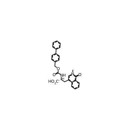 Cn1cc(C[C@@H](NC(=O)OCc2ccc(-c3ccccc3)cc2)C(=O)O)c2ccccc2c1=O